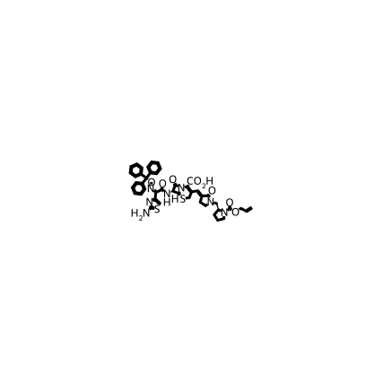 C=CCOC(=O)N1CCC[C@H]1CN1CC/C(=C\C2=C(C(=O)O)N3C(=O)[C@@H](NC(=O)/C(=N\OC(c4ccccc4)(c4ccccc4)c4ccccc4)c4csc(N)n4)[C@H]3SC2)C1=O